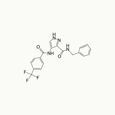 O=C(Nc1c[nH]nc1C(=O)NCc1ccccc1)c1ccc(C(F)(F)F)cc1